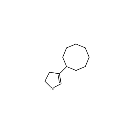 C1=C(C2CCCCCCC2)CC[N]1